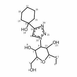 CSC1OC(CO)C(O)C(n2cc(C3(O)CCCCC3)nn2)C1O